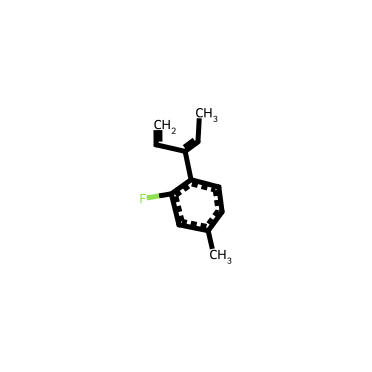 C=C/C(=C\C)c1ccc(C)cc1F